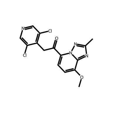 COc1ccc(C(=O)Cc2c(Cl)cncc2Cl)n2nc(C)nc12